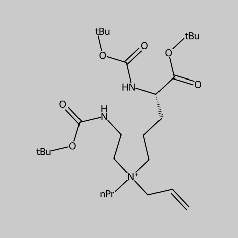 C=CC[N+](CCC)(CCC[C@H](NC(=O)OC(C)(C)C)C(=O)OC(C)(C)C)CCNC(=O)OC(C)(C)C